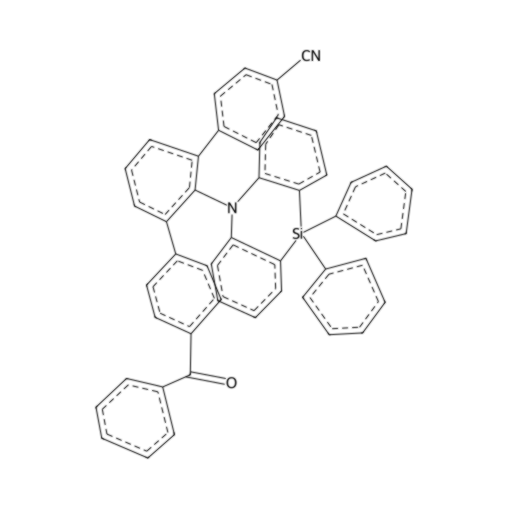 N#Cc1ccc(-c2cccc(-c3ccc(C(=O)c4ccccc4)cc3)c2N2c3ccccc3[Si](c3ccccc3)(c3ccccc3)c3ccccc32)cc1